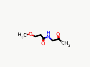 COCCC(=O)NCC(C)=O